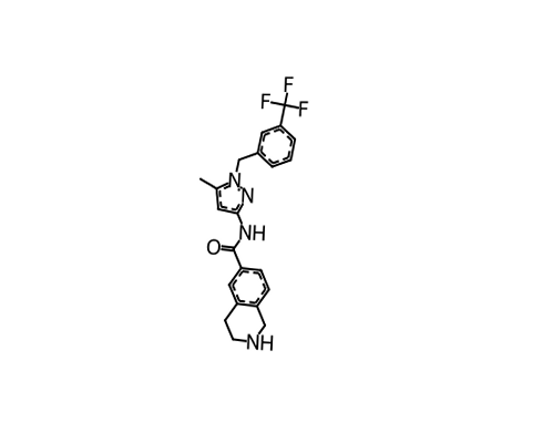 Cc1cc(NC(=O)c2ccc3c(c2)CCNC3)nn1Cc1cccc(C(F)(F)F)c1